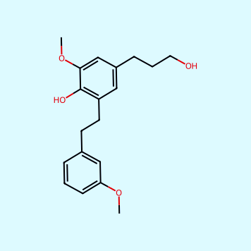 COc1cccc(CCc2cc(CCCO)cc(OC)c2O)c1